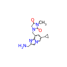 CN1C(=O)CN(Cc2cc(C3CC3)cn3cc(CN)nc23)C1=O